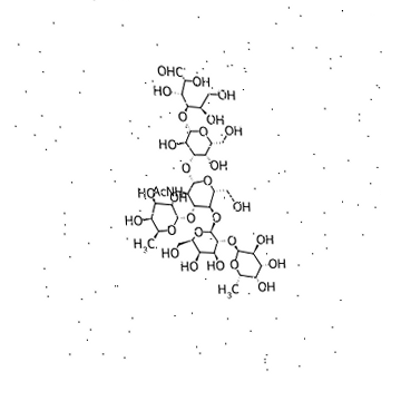 CC(=O)N[C@H]1[C@H](O[C@H]2[C@@H](O)[C@@H](CO)O[C@@H](O[C@@H]([C@H](O)[C@@H](O)C=O)[C@H](O)CO)[C@@H]2O)O[C@H](CO)[C@@H](O[C@@H]2O[C@H](CO)[C@H](O)[C@H](O)[C@H]2O[C@@H]2O[C@@H](C)[C@@H](O)[C@@H](O)[C@@H]2O)[C@@H]1O[C@@H]1O[C@@H](C)[C@@H](O)[C@@H](O)[C@@H]1O